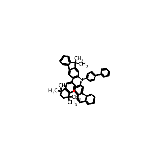 CC1(C)CCC(C)(C)c2cc(-c3cc4c(cc3N(c3ccc(-c5ccccc5)cc3)c3ccc5ccc6ccccc6c5c3)C(C)(C)c3ccccc3-4)ccc21